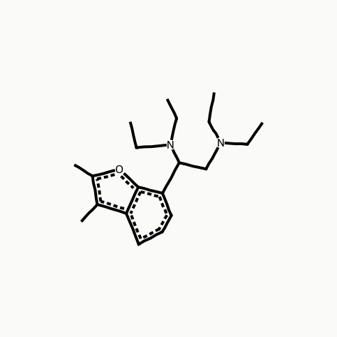 CCN(CC)CC(c1cccc2c(C)c(C)oc12)N(CC)CC